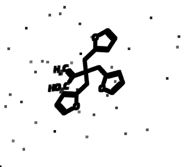 C=C(C(=O)O)C(Cc1ccco1)(Cc1ccco1)Cc1ccco1